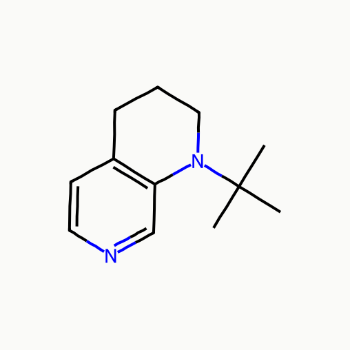 CC(C)(C)N1CCCc2ccncc21